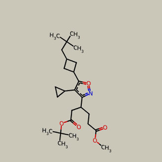 COC(=O)CCC(CC(=O)OC(C)(C)C)c1noc(C2CC(CC(C)(C)C)C2)c1C1CC1